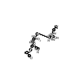 Cc1ncsc1-c1ccc(CNC(=O)[C@@H]2C[C@@H](O)CN2C(=O)[C@@H](NC(=O)CCCCCCCCN2CCCC(CNc3ccc(S(=O)(=O)NC(=O)c4ccc(N5CCN(CC6=C(c7ccc(Cl)cc7)CC(C)(C)CC6)CC5)cc4Oc4cnc5[nH]ccc5c4)cc3[N+](=O)[O-])C2)C(C)(C)C)cc1